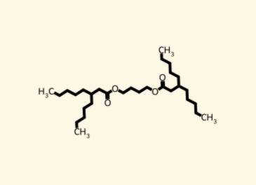 CCCCCC(CCCCC)CC(=O)OCCCCOC(=O)CC(CCCCC)CCCCC